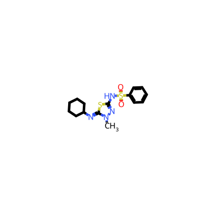 Cn1nc(NS(=O)(=O)c2ccccc2)sc1=NC1CCCCC1